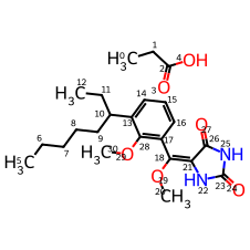 CCC(=O)O.CCCCCC(CC)c1cccc(C(OC)=C2NC(=O)NC2=O)c1OC